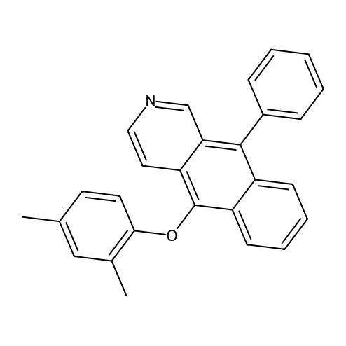 Cc1ccc(Oc2c3ccccc3c(-c3ccccc3)c3cnccc23)c(C)c1